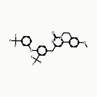 COc1ccc2c(c1)CCn1c-2cc(Cc2ccc(Oc3cccc(C(F)(F)F)c3)c(C(F)(F)F)c2)nc1=O